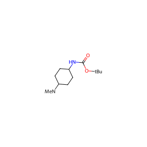 CNC1CCC(NC(=O)OC(C)(C)C)CC1